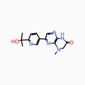 CN1CC(=O)Nc2ncc(-c3ccc(C(C)(C)O)nc3)nc21